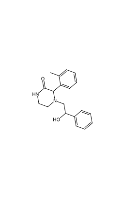 Cc1ccccc1C1C(=O)NCCN1CC(O)c1ccccc1